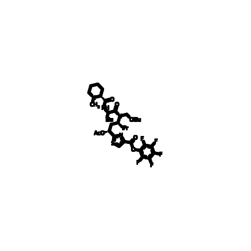 CCC(C)C(NC(=O)[C@H]1CCCCN1C)C(=O)N(COCC(C)C)[C@H](C[C@@H](OC(C)=O)c1nc(C(=O)Oc2c(F)c(F)c(F)c(F)c2F)cs1)C(C)C